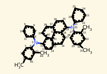 Cc1ccc(N(c2ccccc2)c2ccc3ccc4c(N(c5ccccc5)c5ccc(C)cc5C)ccc5ccc2c3c54)c(C)c1